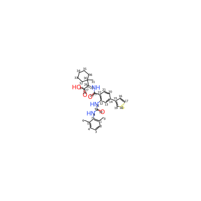 Cc1cccc(C)c1NC(=O)Nc1cc(-c2ccsc2)ccc1C(=O)N[C@H](C(=O)O)C1(C)CCCCC1